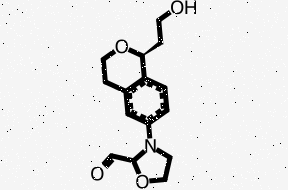 O=CC1OCCN1c1ccc2c(c1)CCO[C@H]2CCO